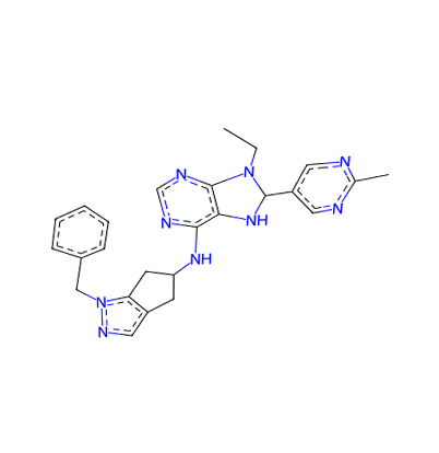 CCN1c2ncnc(NC3Cc4cnn(Cc5ccccc5)c4C3)c2NC1c1cnc(C)nc1